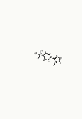 Cn1cncc1-c1ccc(C(F)(F)F)cc1